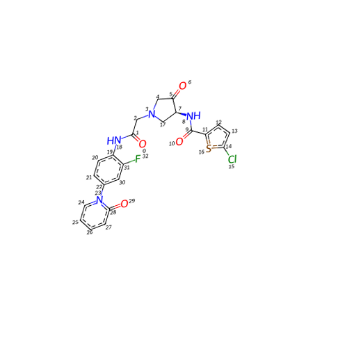 O=C(CN1CC(=O)[C@@H](NC(=O)c2ccc(Cl)s2)C1)Nc1ccc(-n2ccccc2=O)cc1F